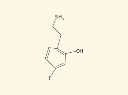 Oc1cc(I)ccc1CC[SiH3]